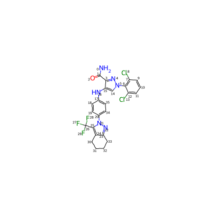 NC(=O)c1nn(-c2c(Cl)cccc2Cl)cc1Nc1ccc(-n2nc3c(c2C(F)(F)F)CCCC3)cc1